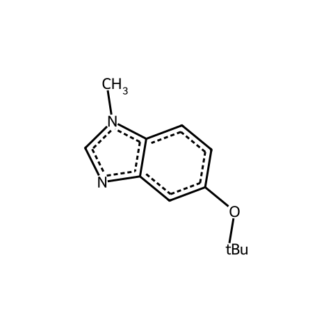 Cn1cnc2cc(OC(C)(C)C)ccc21